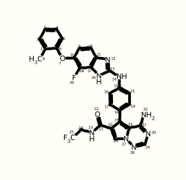 Cc1ccccc1Oc1ccc2nc(Nc3ccc(-c4c(C(=O)NCC(F)(F)F)cn5ncnc(N)c45)cc3)[nH]c2c1F